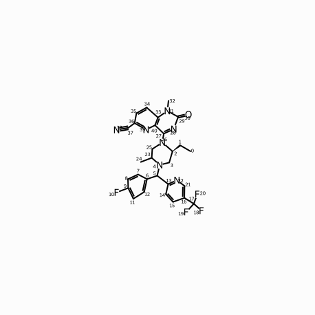 CC[C@H]1CN(C(c2ccc(F)cc2)c2ccc(C(F)(F)F)cn2)C(C)CN1c1nc(=O)n(C)c2ccc(C#N)nc12